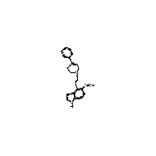 COc1ccc2[nH]ccc2c1CCN1CC=C(c2ccccc2)CC1